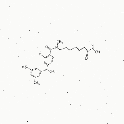 Cc1cc(C)cc(N(C)c2ccc(C(=O)N(C)CCCCCCC(=O)NO)c(F)c2)c1